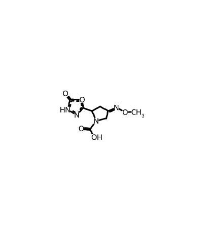 CON=C1CC(c2n[nH]c(=O)o2)N(C(=O)O)C1